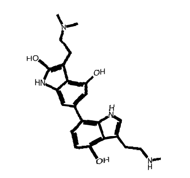 CNCCc1c[nH]c2c(-c3cc(O)c4c(CCN(C)C)c(O)[nH]c4c3)ccc(O)c12